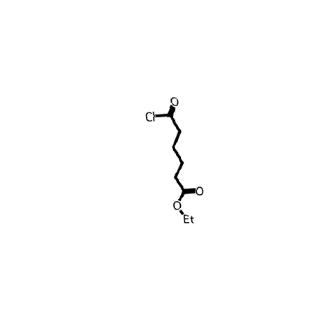 CCOC(=O)CCCCC(=O)Cl